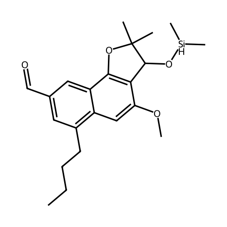 CCCCc1cc(C=O)cc2c3c(c(OC)cc12)C(O[SiH](C)C)C(C)(C)O3